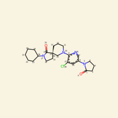 O=C1CCCN1c1cnc(N2CCC[C@]3(CCN(C4CCCCC4)C3=O)C2)c(Cl)c1